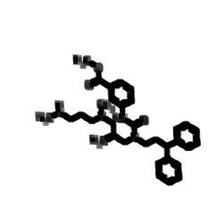 C=C(CN(C)CCCNC)CN(CCC(c1ccccc1)c1ccccc1)C(=O)Nc1cccc(C(=O)OC)c1